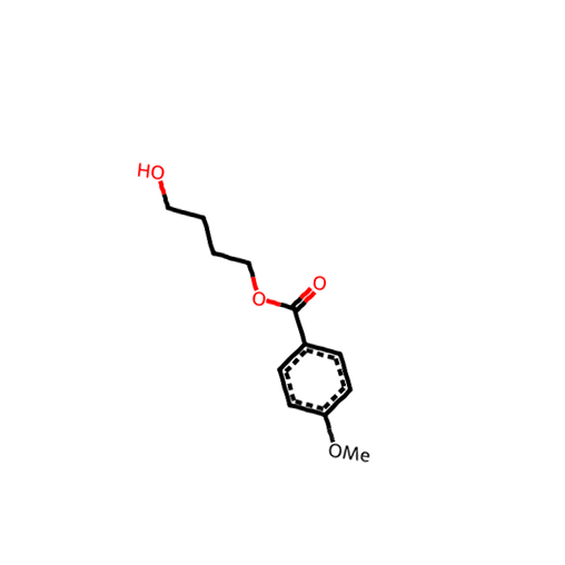 COc1ccc(C(=O)OCCCCO)cc1